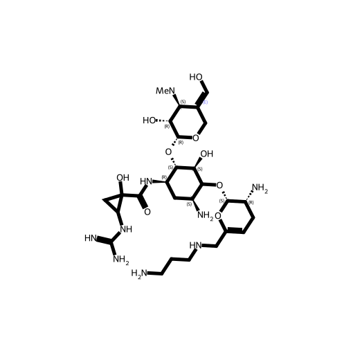 CN[C@H]1/C(=C\O)CO[C@H](O[C@H]2[C@H](NC(=O)C3(O)CC3NC(=N)N)C[C@H](N)C(O[C@H]3OC(CNCCCN)=CC[C@H]3N)[C@@H]2O)[C@@H]1O